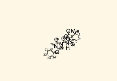 COC(=O)c1ccccc1S(=O)(=O)NC(=O)n1nc(Oc2ccccc2)n(C)c1=O